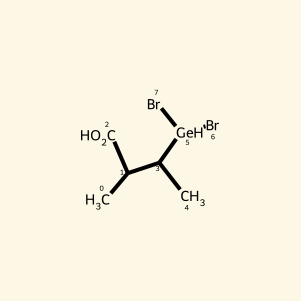 CC(C(=O)O)[CH](C)[GeH]([Br])[Br]